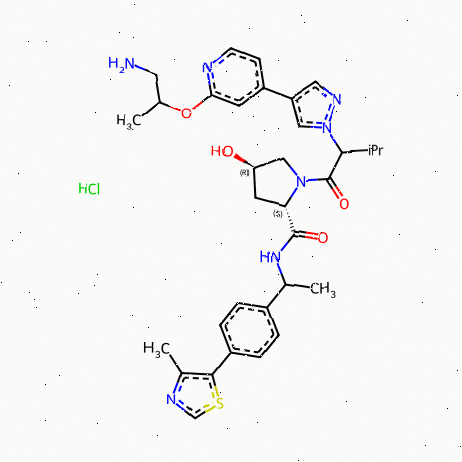 Cc1ncsc1-c1ccc(C(C)NC(=O)[C@@H]2C[C@@H](O)CN2C(=O)C(C(C)C)n2cc(-c3ccnc(OC(C)CN)c3)cn2)cc1.Cl